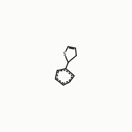 C1=CS[C](c2ccccc2)C1